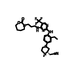 CCc1cc(N2CCN(C)[C@@H](CC#N)C2)ccc1Nc1ncc(C(F)(F)F)c(NCCCN2CCCCOC2=O)n1